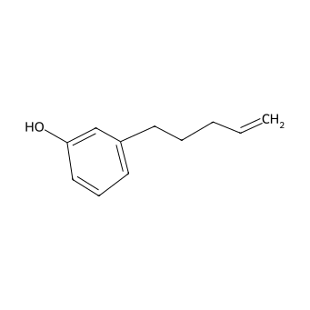 C=CCCCc1cccc(O)c1